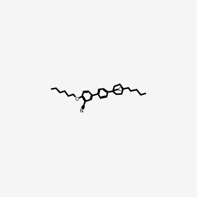 CCCCCCOc1ccc(-c2ccc(C34CCC(CCCCC)(CC3)CC4)cc2)cc1C#N